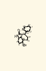 O=c1[nH]c2ccc(Br)c3c2n1C(c1ccccn1)CC3